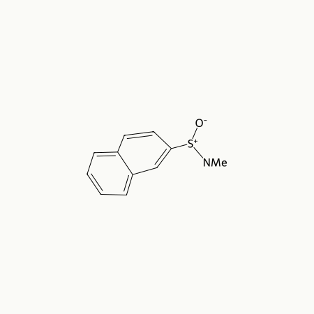 CN[S+]([O-])c1ccc2ccccc2c1